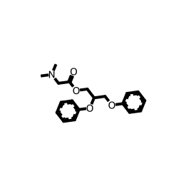 CN(C)CC(=O)OCC(COc1ccccc1)Oc1ccccc1